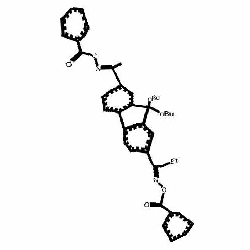 CCCCC1(CCCC)c2cc(/C(C)=N/OC(=O)c3ccccc3)ccc2-c2ccc(/C(CC)=N/OC(=O)c3ccccc3)cc21